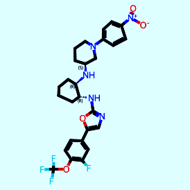 O=[N+]([O-])c1ccc(N2CCC[C@H](N[C@@H]3CCCC[C@H]3Nc3ncc(-c4ccc(OC(F)(F)F)c(F)c4)o3)C2)cc1